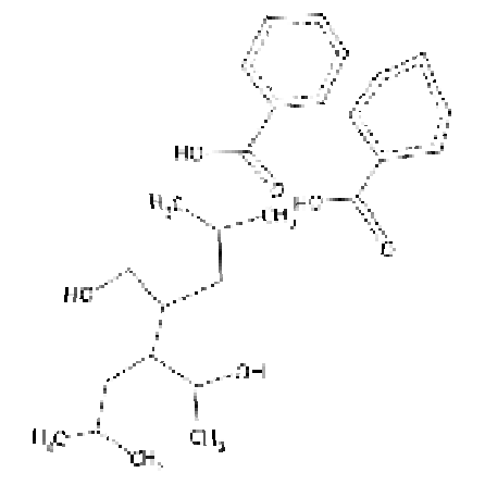 CC(C)CC(CO)C(CC(C)C)C(C)O.O=C(O)c1ccccc1.O=C(O)c1ccccc1